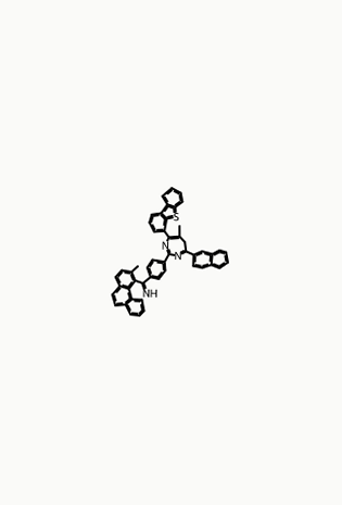 CC1=C(c2cccc3c2sc2ccccc23)N=C(c2ccc(C(=N)c3c(C)ccc4ccc5ccccc5c34)cc2)N=C(c2ccc3ccccc3c2)C1